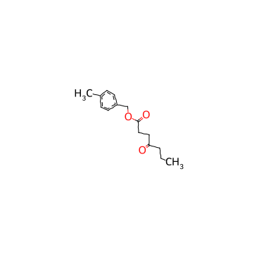 CCCC(=O)CCC(=O)OCc1ccc(C)cc1